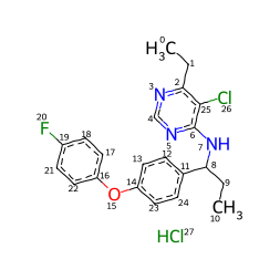 CCc1ncnc(NC(CC)c2ccc(Oc3ccc(F)cc3)cc2)c1Cl.Cl